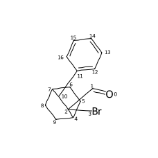 O=CC1(Br)C2CCC(CC2)C1c1ccccc1